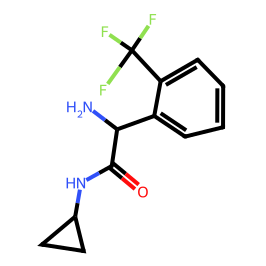 NC(C(=O)NC1CC1)c1ccccc1C(F)(F)F